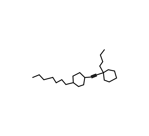 CCCCCCCC1CCC(C#CC2(CCCC)CCCCC2)CC1